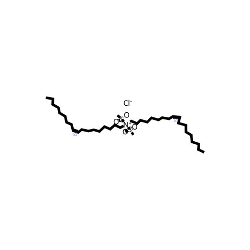 CCCCCCCC/C=C\CCCCCCCC[N+](CCCCCCCC/C=C\CCCCCCCC)(S(C)(=O)=O)S(C)(=O)=O.[Cl-]